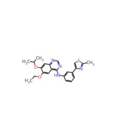 CCOc1cc2c(Nc3cccc(-c4csc(C)n4)c3)ncnc2cc1OC(C)C